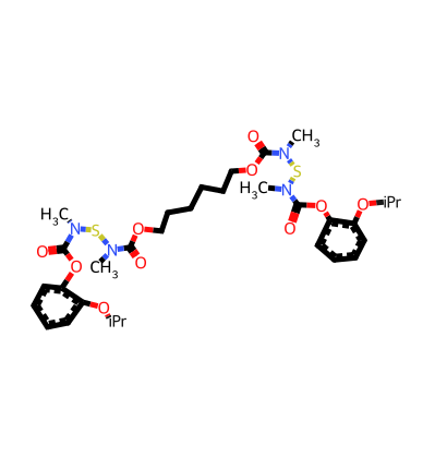 CC(C)Oc1ccccc1OC(=O)N(C)SN(C)C(=O)OCCCCCCOC(=O)N(C)SN(C)C(=O)Oc1ccccc1OC(C)C